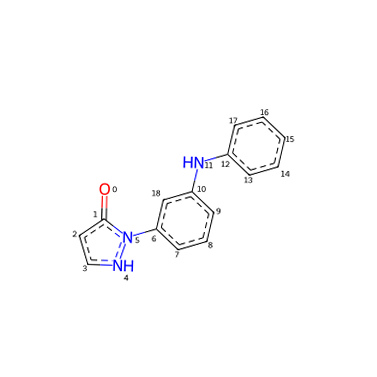 O=c1cc[nH]n1-c1cccc(Nc2ccccc2)c1